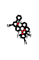 N#Cc1ccc2c(c1)c1ccccc1n2-c1cccc(C#N)c1-c1c(-c2cc(C(F)(F)F)cc(C(F)(F)F)c2)cccc1-n1c2ccccc2c2cc(C#N)ccc21